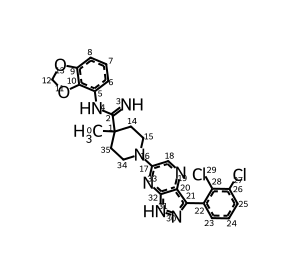 CC1(C(=N)Nc2cccc3c2OCO3)CCN(c2cnc3c(-c4cccc(Cl)c4Cl)n[nH]c3n2)CC1